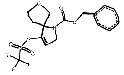 O=C(OCc1ccccc1)N1CC=C(OS(=O)(=O)C(F)(F)F)C12CCOC2